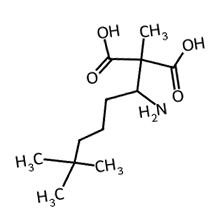 CC(C)(C)CCCC(N)C(C)(C(=O)O)C(=O)O